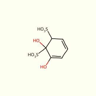 O=S(=O)(O)C1C=CC=C(O)C1(O)S(=O)(=O)O